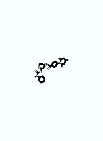 CC1CC(C)N(c2ccc(C(=O)Nc3ccnc(OC(=O)N(C)c4ccccc4)c3)cc2)C(C)C1